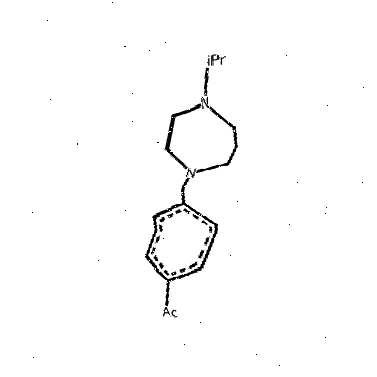 CC(=O)c1ccc(N2CCN(C(C)C)CC2)cc1